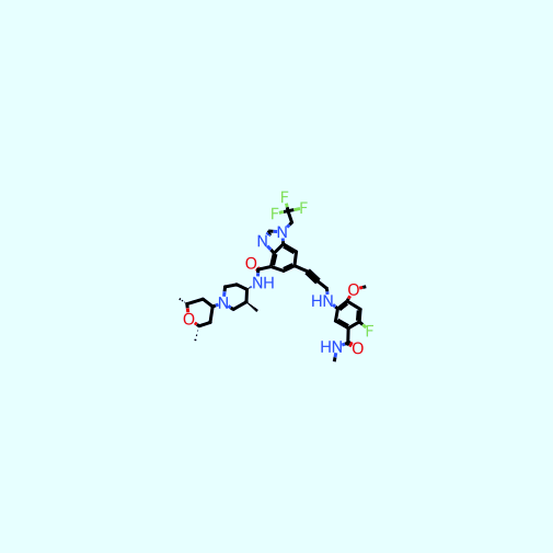 CNC(=O)c1cc(NCC#Cc2cc(C(=O)N[C@H]3CCN(C4C[C@@H](C)O[C@@H](C)C4)C[C@@H]3C)c3ncn(CC(F)(F)F)c3c2)c(OC)cc1F